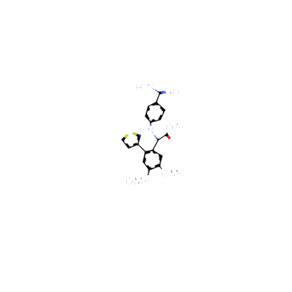 COc1cc(-c2ccsc2)c(C(Nc2ccc(C(=N)N)cc2)C(=O)OC(C)=O)cc1OC